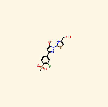 CS(=O)(=O)c1ccc(-c2cc(O)n(-c3nc(CO)cs3)n2)cc1F